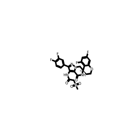 CS(=O)(=O)CC(=O)Nc1c(-c2ccc(F)c(F)c2)nn2c1C(=O)N[C@]1(CCOc3cc(F)cc(F)c31)C2